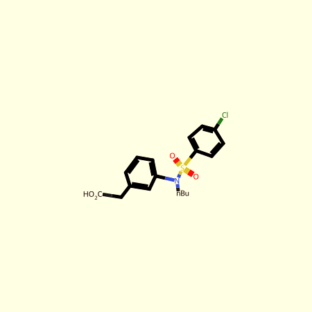 CCCCN(c1cccc(CC(=O)O)c1)S(=O)(=O)c1ccc(Cl)cc1